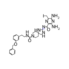 Nc1nc(N)c(C(=O)/N=C2\NCC3(CCN(C(=O)NCCc4cccc(OCc5ccccc5)c4)CC3)N2)nc1CI